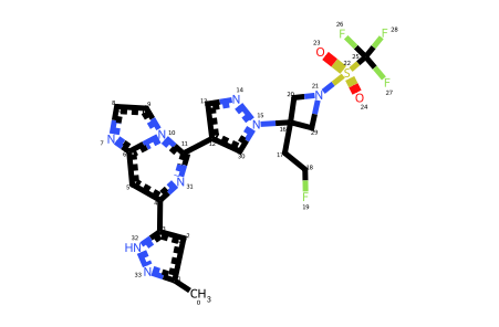 Cc1cc(-c2cc3nccn3c(-c3cnn(C4(CCF)CN(S(=O)(=O)C(F)(F)F)C4)c3)n2)[nH]n1